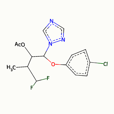 CC(=O)OC(C(C)C(F)F)C(Oc1ccc(Cl)cc1)n1cncn1